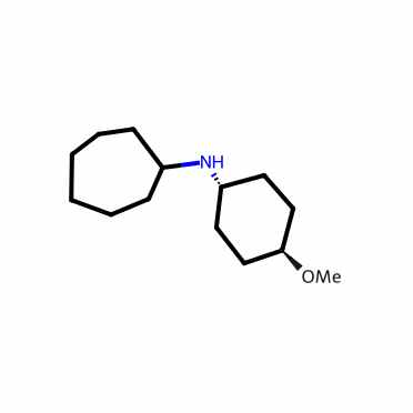 CO[C@H]1CC[C@H](NC2CCCCCC2)CC1